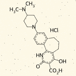 CN(C)C1CCN(c2ccc3c(c2)CCCc2c-3[nH]c(=O)c(C(=O)O)c2O)CC1.Cl